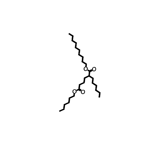 CCCCCCCCCCOC(=O)C(CCCCCC)CCCC(=O)OCCCCCC